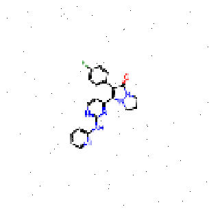 O=c1c(-c2ccc(F)cc2)c(-c2ccnc(Nc3ccccn3)n2)n2n1CCC2